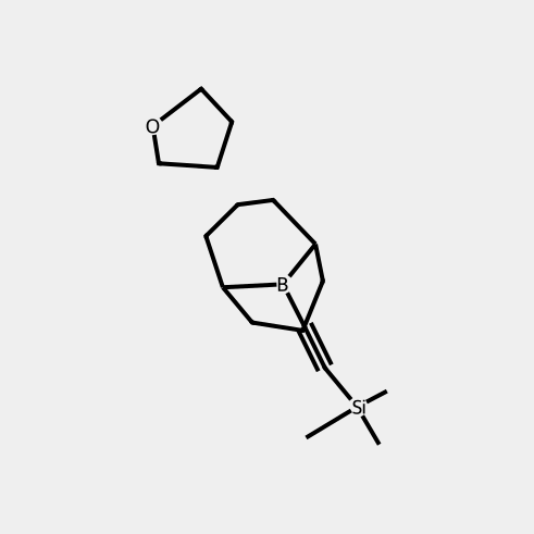 C1CCOC1.C[Si](C)(C)C#CB1C2CCCC1CCC2